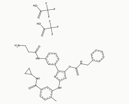 Cc1ccc(C(=O)NC2CC2)cc1Nc1nc(-c2cccc(NC(=O)CCN)c2)c(OC(=O)NCc2ccccc2)s1.O=C(O)C(F)(F)F.O=C(O)C(F)(F)F